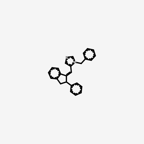 C(=C1c2ccccc2CC1c1ccccc1)c1cncn1Cc1ccccc1